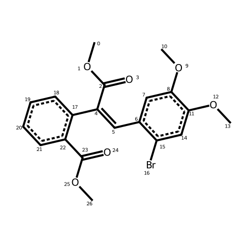 COC(=O)C(=Cc1cc(OC)c(OC)cc1Br)c1ccccc1C(=O)OC